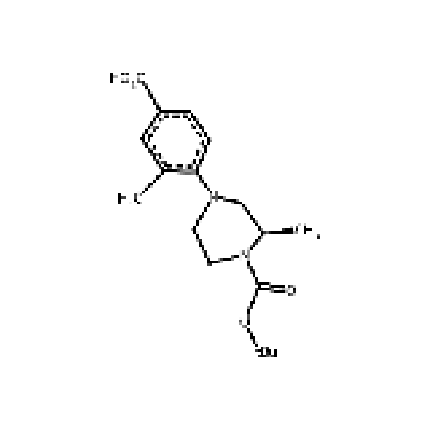 Cc1cc(C(=O)O)ccc1N1CCN(C(=O)OC(C)(C)C)[C@H](C)C1